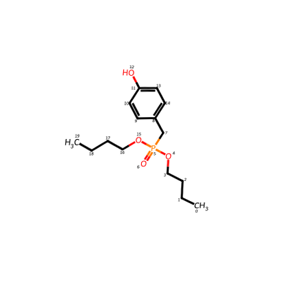 CCCCOP(=O)(Cc1ccc(O)cc1)OCCCC